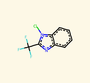 FC(F)(F)c1nc2ccccc2n1Cl